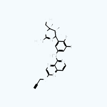 C#CCOc1cnc2c(Nc3cc(F)c(F)c([C@@]4(C)N=C(N)S[C@](C)(CO)[C@H]4C)c3)nccc2n1